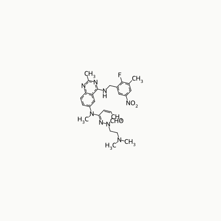 C/C=C\C(=N/N(C=O)CCN(C)C)N(C)c1ccc2nc(C)nc(NCc3cc([N+](=O)[O-])cc(C)c3F)c2c1